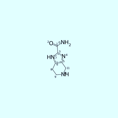 NC(=O)c1nc2c([nH]1)CCNC2